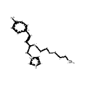 CCCCCCCSC(C=Cc1ccc(F)cc1)Cn1ccnc1